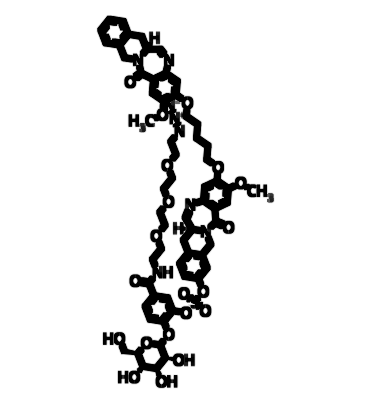 COc1cc2c(cc1OCCCCCOc1cc3c(cc1OC)C(=O)N1Cc4ccccc4C[C@@H]1C=N3)N=C[C@@H]1Cc3ccc(OS(=O)(=O)Oc4cc(C(=O)NCCOCCOCCOCCN=[N+]=[N-])ccc4OC4O[C@H](CO)[C@H](O)[C@H](O)[C@H]4O)cc3CN1C2=O